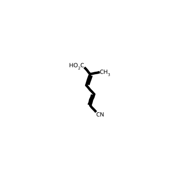 CC(=CC=CC#N)C(=O)O